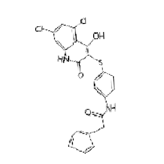 O=C(Cc1ccccc1)Nc1ccc(Sc2c(O)c3c(Cl)cc(Cl)cc3[nH]c2=O)cc1